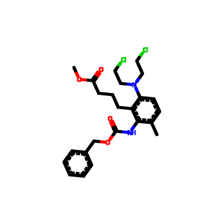 COC(=O)CCCc1c(N(CCCl)CCCl)ccc(C)c1NC(=O)OCc1ccccc1